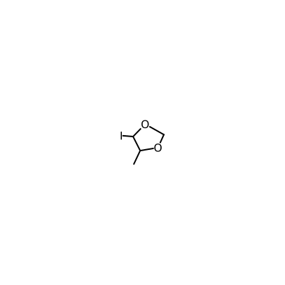 CC1OCOC1I